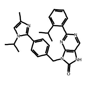 Cc1cn(C(C)C)c(-c2ccc(Cn3c(=O)[nH]c4cnc(-c5ccccc5C(C)C)nc43)cc2)n1